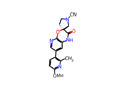 COc1ccc(-c2cnc3c(c2)NC(=O)[C@@]2(CCN(C#N)C2)O3)c(C)n1